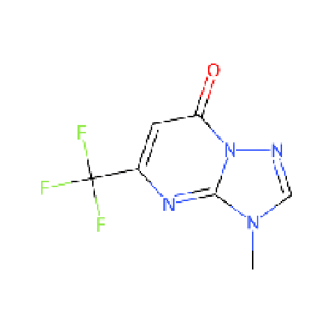 Cn1cnn2c(=O)cc(C(F)(F)F)nc12